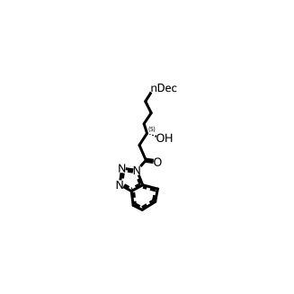 CCCCCCCCCCCCC[C@H](O)CC(=O)n1nnc2ccccc21